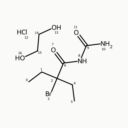 CCC(Br)(CC)C(=O)NC(N)=O.Cl.OCCO